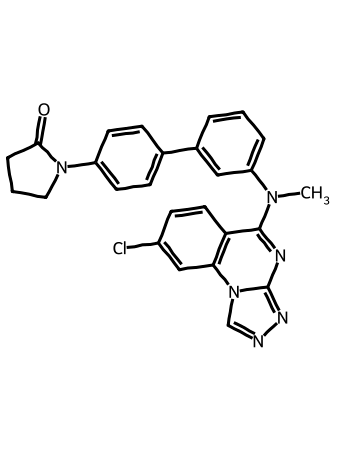 CN(c1cccc(-c2ccc(N3CCCC3=O)cc2)c1)c1nc2nncn2c2cc(Cl)ccc12